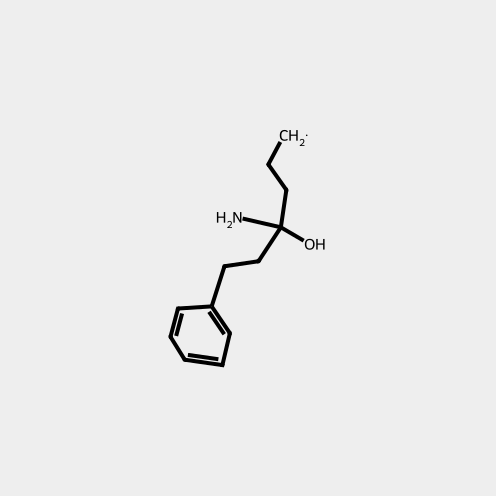 [CH2]CCC(N)(O)CCc1ccccc1